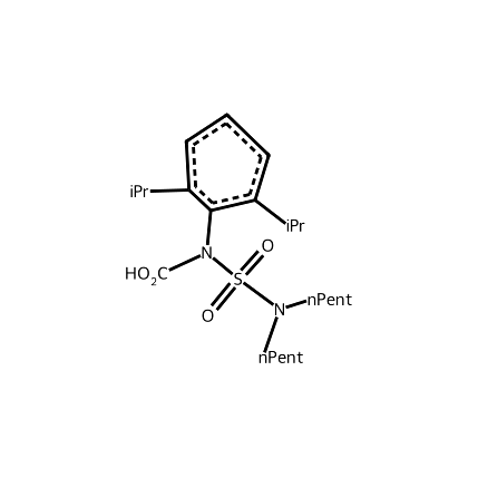 CCCCCN(CCCCC)S(=O)(=O)N(C(=O)O)c1c(C(C)C)cccc1C(C)C